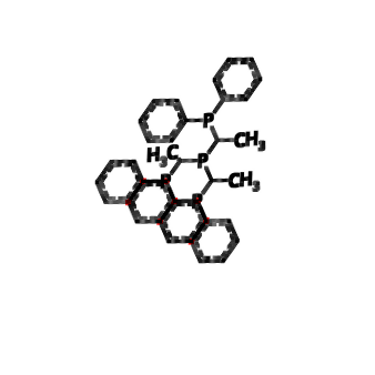 CC(P(c1ccccc1)c1ccccc1)P(C(C)P(c1ccccc1)c1ccccc1)C(C)P(c1ccccc1)c1ccccc1